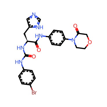 O=C(Nc1ccc(Br)cc1)N[C@@H](Cc1cnc[nH]1)C(=O)Nc1ccc(N2CCOCC2=O)cc1